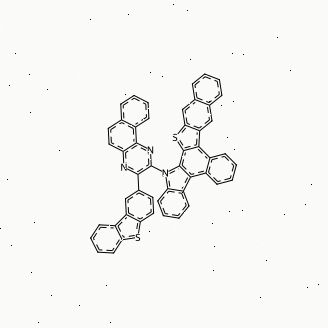 c1ccc2cc3c(cc2c1)sc1c3c2ccccc2c2c3ccccc3n(-c3nc4c(ccc5ccccc54)nc3-c3ccc4sc5ccccc5c4c3)c12